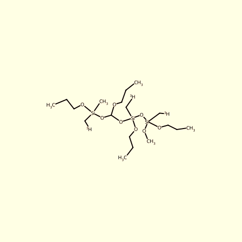 [3H]C[Si](C)(OCCC)OC(OCCC)O[Si](C[3H])(OCCC)O[Si](C[3H])(OC)OCCC